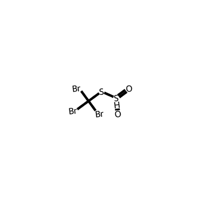 O=[SH](=O)SC(Br)(Br)Br